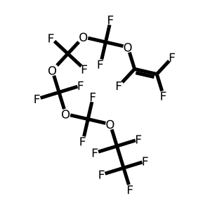 FC(F)=C(F)OC(F)(F)OC(F)(F)OC(F)(F)OC(F)(F)OC(F)(F)C(F)(F)F